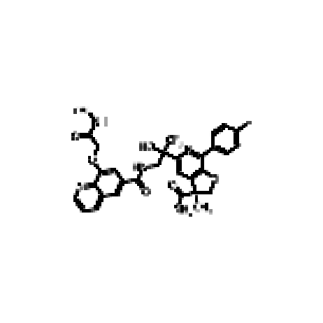 CCCNC(=O)COc1cc(C(=O)NC[C@](O)(c2cc3c(c(-c4ccc(F)cc4)n2)OC[C@]3(C)C(N)=O)C(F)(F)F)cc2cccnc12